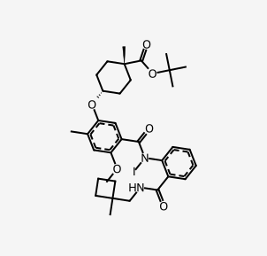 COc1cc(C)c(O[C@H]2CC[C@@](C)(C(=O)OC(C)(C)C)CC2)cc1C(=O)N(I)c1ccccc1C(=O)NCC1(C)CCC1